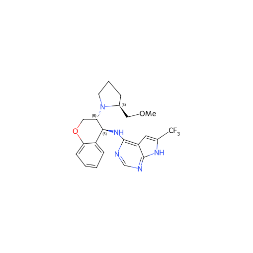 COC[C@@H]1CCCN1[C@H]1COc2ccccc2[C@@H]1Nc1ncnc2[nH]c(C(F)(F)F)cc12